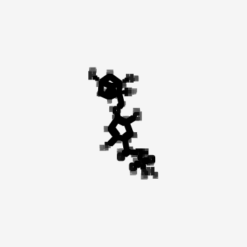 CC1(C)[C@H]2CC[C@H](COc3cc(F)c(C(=O)NS(N)(=O)=O)cc3Cl)[C@@H]1C2